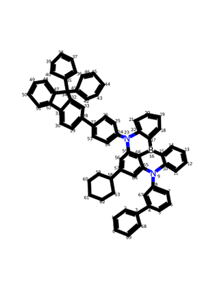 c1ccc(-c2cccc(N3c4ccccc4B4c5ccccc5N(c5ccc(-c6ccc7c(c6)C(c6ccccc6)(c6ccccc6)c6ccccc6-7)cc5)c5cc(C6CCCCC6)cc3c54)c2)cc1